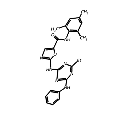 CCc1nc(Nc2ccccc2)nc(Nc2ncc(C(=O)Nc3c(C)cc(C)cc3C)o2)n1